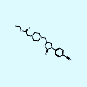 CCOC(=O)CN1CCN(C[C@H]2CN(c3ccc(C#N)cc3)C(=O)O2)CC1